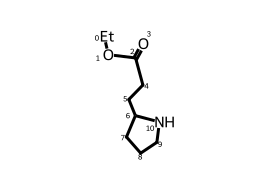 CCOC(=O)CCC1CCCN1